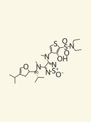 CCN(CC)S(=O)(=O)c1scc(N(C)c2n[s+]([O-])nc2N(C)[C@H](C(C)C)C2CC(C(C)C)=CO2)c1O